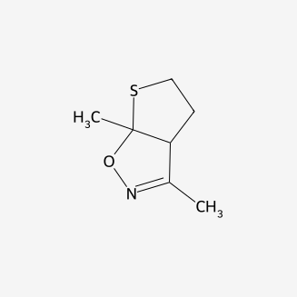 CC1=NOC2(C)SCCC12